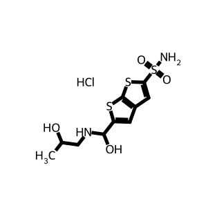 CC(O)CNC(O)c1cc2cc(S(N)(=O)=O)sc2s1.Cl